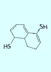 SC1=CCCC2C1=CC=CC2S